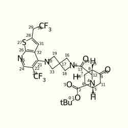 CC(C)(C)OC(=O)N1[C@H]2CC[C@H](C(=O)C2)[C@@H]1C(=O)N1CC2(C1)CN(c1c(C(F)(F)F)cnc3sc(CC(F)(F)F)cc13)C2